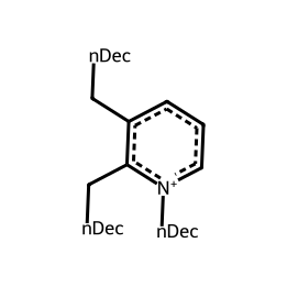 CCCCCCCCCCCc1ccc[n+](CCCCCCCCCC)c1CCCCCCCCCCC